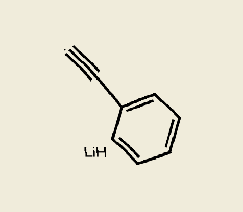 [C]#Cc1ccccc1.[LiH]